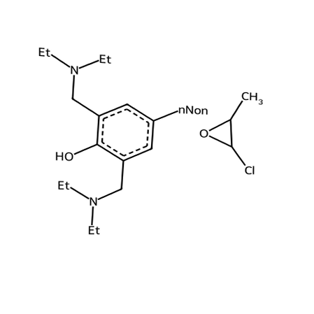 CC1OC1Cl.CCCCCCCCCc1cc(CN(CC)CC)c(O)c(CN(CC)CC)c1